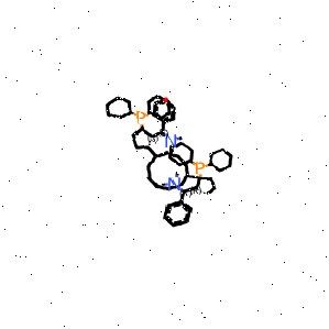 CN(C)[C@H](c1ccccc1)[C@@H]1C(C2CCCCCC(C3(P(C4CCCCC4)C4CCCCC4)CCC[C@@H]3[C@@H](c3ccccc3)N(C)C)CCC2)CCC1P(C1CCCCC1)C1CCCCC1